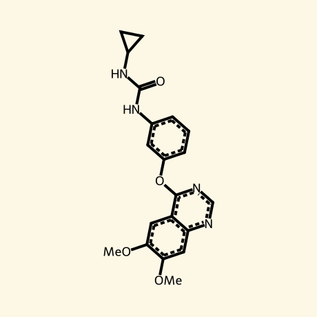 COc1cc2ncnc(Oc3cccc(NC(=O)NC4CC4)c3)c2cc1OC